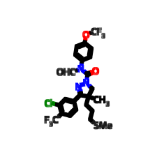 CSCCCC1(C)CN(C(=O)N(C=O)c2ccc(OC(F)(F)F)cc2)N=C1c1ccc(C(F)(F)F)c(Cl)c1